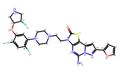 Nc1nc2c(sc(=O)n2CCN2CCN(c3cc(O[C@H]4CNC[C@H]4F)c(F)cc3F)CC2)c2cc(-c3ccco3)nn12